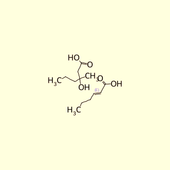 CCC/C=C/C(=O)O.CCCC(C)(O)CC(=O)O